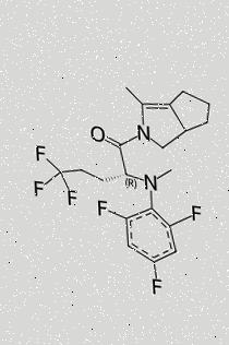 CC1=C2CCCC2CN1C(=O)[C@@H](CCC(F)(F)F)N(C)c1c(F)cc(F)cc1F